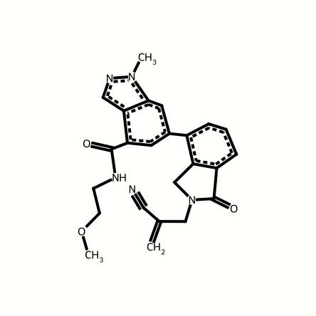 C=C(C#N)CN1Cc2c(cccc2-c2cc(C(=O)NCCOC)c3cnn(C)c3c2)C1=O